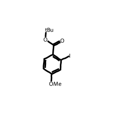 COc1ccc(C(=O)OC(C)(C)C)c(I)c1